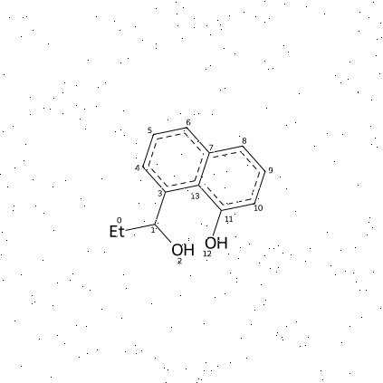 CCC(O)c1cccc2cccc(O)c12